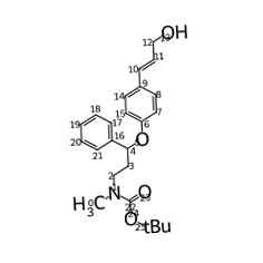 CN(CCC(Oc1ccc(/C=C/CO)cc1)c1ccccc1)C(=O)OC(C)(C)C